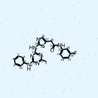 Cc1nc(Nc2ccccc2)nc(Nc2ncc(CC(=O)Nc3cccc(F)c3)s2)n1